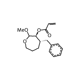 C=CC(=O)O[C@@H]1C(OC)OCCC[C@H]1Cc1ccccc1